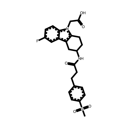 CS(=O)(=O)c1ccc(CCC(=O)NC2CCc3c(c4cc(F)ccc4n3CC(=O)O)C2)cc1